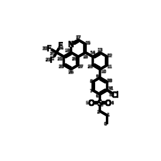 CCCS(=O)(=O)c1ccc(-c2cccc(-c3ccnc4c(C(F)(F)F)cccc34)c2)cc1Cl